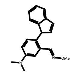 CON=Cc1cc(N(C)C)ccc1C1C=Cc2ccccc21